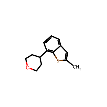 Cc1cc2cccc(C3CCOCC3)c2s1